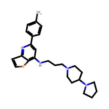 FC(F)(F)c1ccc(-c2cc(NCCCN3CCC(N4CCCC4)CC3)c3sccc3n2)cc1